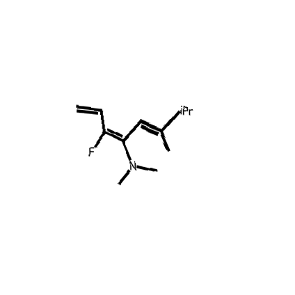 C=C/C(F)=C(\C=C(/C)C(C)C)N(C)C